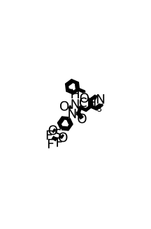 CC1(Cc2ccncc2OCc2ccccc2)NC(=O)N(c2ccc(S(=O)(=O)C(F)(F)F)cc2)C1=O